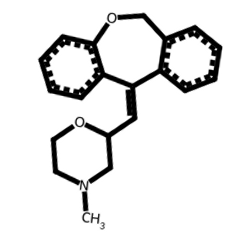 CN1CCOC(/C=C2/c3ccccc3COc3ccccc32)C1